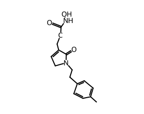 Cc1ccc(CCN2CC=C(CCC(=O)NO)C2=O)cc1